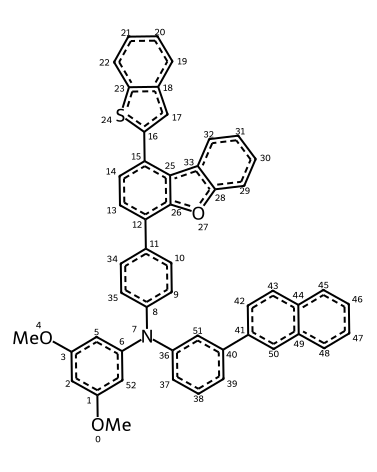 COc1cc(OC)cc(N(c2ccc(-c3ccc(-c4cc5ccccc5s4)c4c3oc3ccccc34)cc2)c2cccc(-c3ccc4ccccc4c3)c2)c1